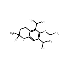 CCOc1c(C(C)C)cc2c(c1C(C)C)CCC(C)(C)N2